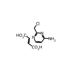 Nc1ccnc(CCl)n1.O=C(O)C=CC(=O)O